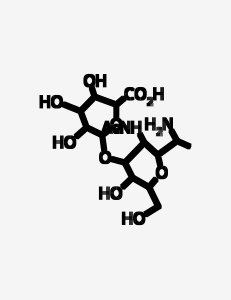 CC(=O)NC1C(C(C)N)OC(CO)C(O)C1OC1OC(C(=O)O)C(O)C(O)C1O